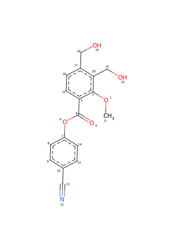 COc1c(C(=O)Oc2ccc(C#N)cc2)ccc(CO)c1CO